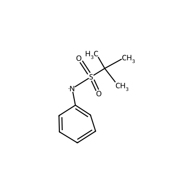 CC(C)(C)S(=O)(=O)[N]c1ccccc1